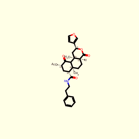 CC(=O)O[C@H]1C[C@@H](C(=O)NCCc2ccccc2)[C@]2(C)CC[C@@H]3C(=O)O[C@H](c4ccoc4)C[C@]3(C)C2C1=O